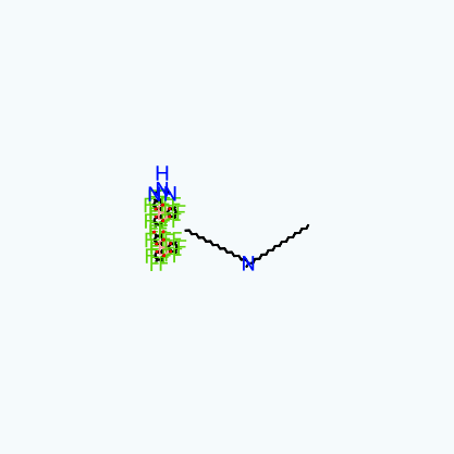 CCCCCCCCCCCCCCCCCCN(C)CCCCCCCCCCCCCCCCCC.Fc1c(F)c(F)c(B(c2c(F)c(F)c(F)c(F)c2F)c2c(F)c(F)c(F)c(F)c2F)c(F)c1F.Fc1c(F)c(F)c(B(c2c(F)c(F)c(F)c(F)c2F)c2c(F)c(F)c(F)c(F)c2F)c(F)c1F.N#CNC#N